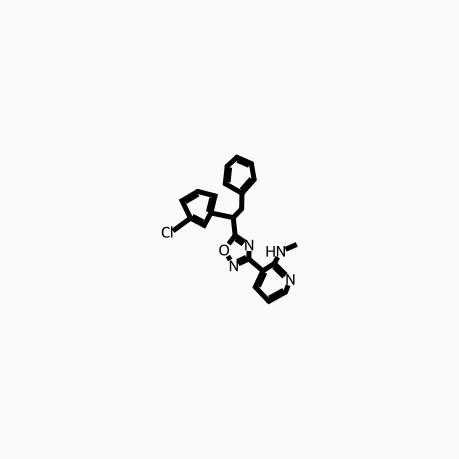 CNc1ncccc1-c1noc(C(Cc2ccccc2)c2cccc(Cl)c2)n1